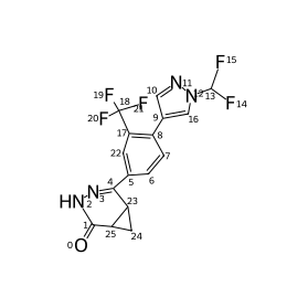 O=C1NN=C(c2ccc(-c3cnn(C(F)F)c3)c(C(F)(F)F)c2)C2CC12